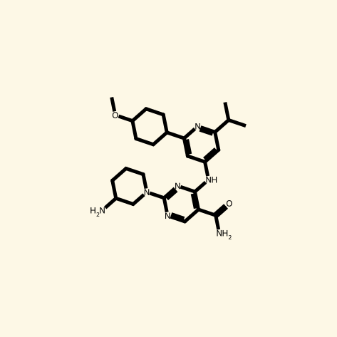 COC1CCC(c2cc(Nc3nc(N4CCCC(N)C4)ncc3C(N)=O)cc(C(C)C)n2)CC1